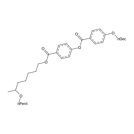 CCCCCCCCCCOc1ccc(C(=O)Oc2ccc(C(=O)OCCCCCC(C)OCCCCC)cc2)cc1